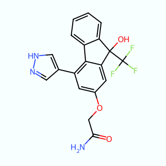 NC(=O)COc1cc(-c2cn[nH]c2)c2c(c1)C(O)(C(F)(F)F)c1ccccc1-2